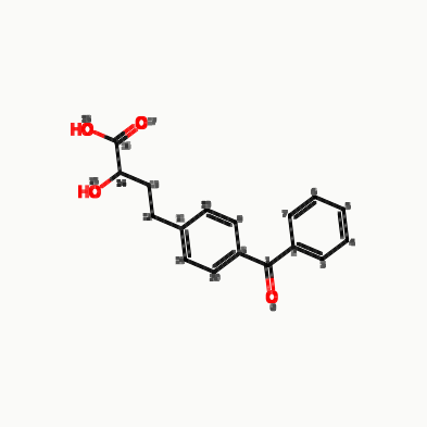 O=C(c1ccccc1)c1ccc(CCC(O)C(=O)O)cc1